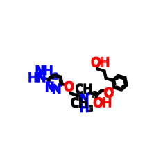 CC(C)(COc1ccc(NN)nn1)NCC(O)COc1ccccc1CCCO